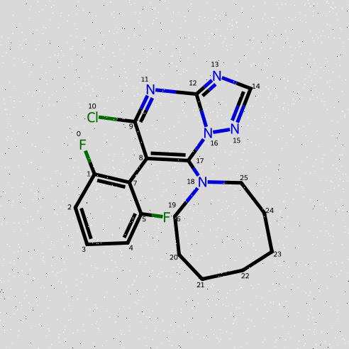 Fc1cccc(F)c1-c1c(Cl)nc2ncnn2c1N1CCCCCCC1